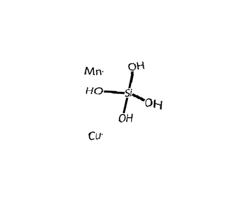 O[Si](O)(O)O.[Cu].[Mn]